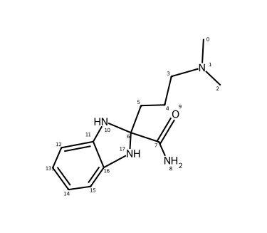 CN(C)CCCC1(C(N)=O)Nc2c[c]ccc2N1